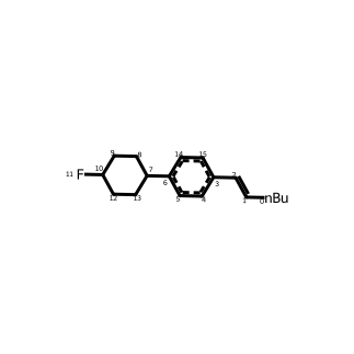 CCCCC=Cc1ccc(C2CCC(F)CC2)cc1